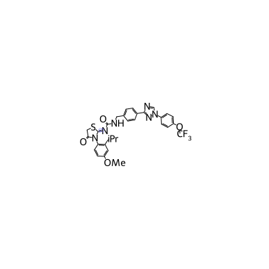 COc1ccc(N2C(=O)CS/C2=N\C(=O)NCc2ccc(-c3ncn(-c4ccc(OC(F)(F)F)cc4)n3)cc2)c(C(C)C)c1